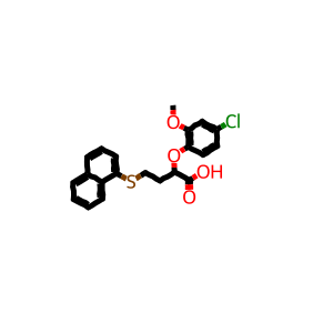 COc1cc(Cl)ccc1OC(CCSc1cccc2ccccc12)C(=O)O